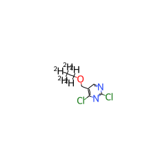 [2H]C([2H])([2H])C([2H])([2H])OCc1cnc(Cl)nc1Cl